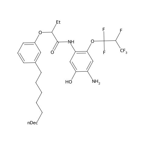 CCCCCCCCCCCCCCCc1cccc(OC(CC)C(=O)Nc2cc(O)c(N)cc2OC(F)(F)C(F)C(F)(F)F)c1